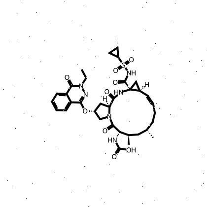 CCn1nc(O[C@@H]2C[C@H]3C(=O)N[C@]4(C(=O)NS(=O)(=O)C5CC5)C[C@H]4/C=C\CC[C@H](C)C[C@@H](C)[C@H](NC(=O)O)C(=O)N3C2)c2ccccc2c1=O